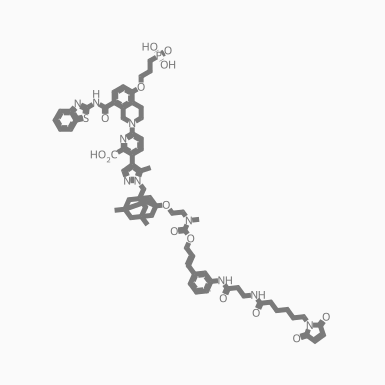 Cc1c(-c2ccc(N3CCc4c(OCCCP(=O)(O)O)ccc(C(=O)Nc5nc6ccccc6s5)c4C3)nc2C(=O)O)cnn1CC12CC3(C)CC(C)(C1)CC(OCCN(C)C(=O)OC/C=C/c1cc[c]c(NC(=O)CCNC(=O)CCCCCN4C(=O)C=CC4=O)c1)(C3)C2